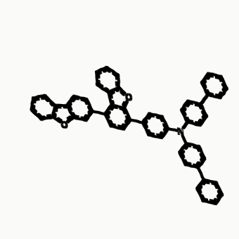 c1ccc(-c2ccc(N(c3ccc(-c4ccccc4)cc3)c3ccc(-c4ccc(-c5ccc6c(c5)oc5ccccc56)c5c4oc4ccccc45)cc3)cc2)cc1